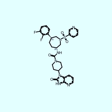 O=C(N[C@@H]1CC[C@@H](c2cccc(F)c2F)CN(S(=O)(=O)c2cccnc2)C1)N1CCC(n2c(=O)[nH]c3ncccc32)CC1